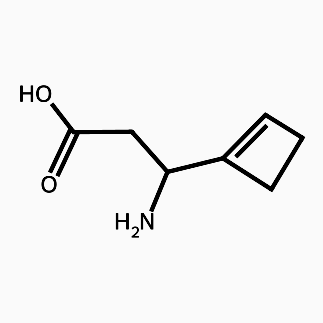 NC(CC(=O)O)C1=CCC1